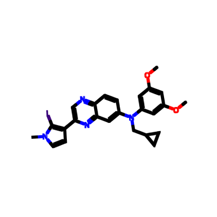 COc1cc(OC)cc(N(CC2CC2)c2ccc3ncc(-c4ccn(C)c4I)nc3c2)c1